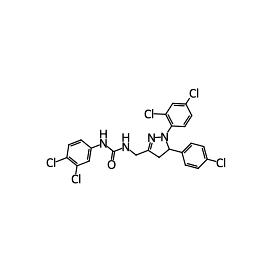 O=C(NCC1=NN(c2ccc(Cl)cc2Cl)C(c2ccc(Cl)cc2)C1)Nc1ccc(Cl)c(Cl)c1